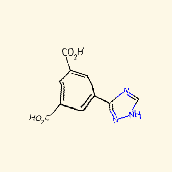 O=C(O)c1cc(C(=O)O)cc(-c2nc[nH]n2)c1